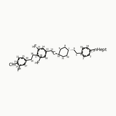 CCCCCCCc1ccc(CC[C@H]2CC[C@H](CCc3cc(F)c(CCc4ccc(Cl)c(F)c4)c(F)c3)CC2)cc1